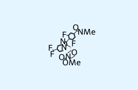 CNC(=O)c1cc(F)c(-c2nc3cc(C(F)F)ccn3c2C[C@H]2CN(C(=O)OC)CCO2)c(F)c1